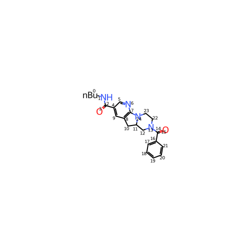 CCCCNC(=O)c1cnc2c(c1)CC1CN(C(=O)c3ccccc3)CCN21